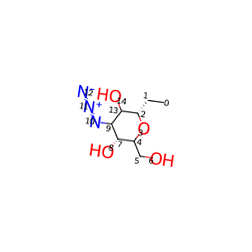 CC[C@@H]1OC(CO)[C@H](O)C(N=[N+]=[N-])C1O